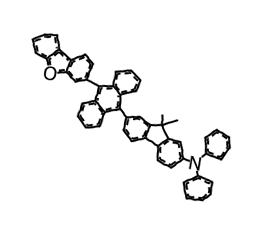 CC1(C)c2cc(-c3c4ccccc4c(-c4ccc5c(c4)oc4ccccc45)c4ccccc34)ccc2-c2ccc(N(c3ccccc3)c3ccccc3)cc21